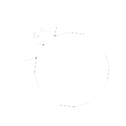 BrC1(Br)CCCCCCCCCCCCCC(Br)(Br)C1(Br)Br